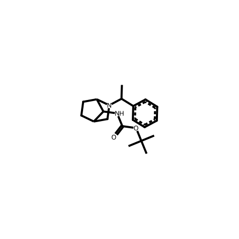 CC(c1ccccc1)N1CC2CCC1C2NC(=O)OC(C)(C)C